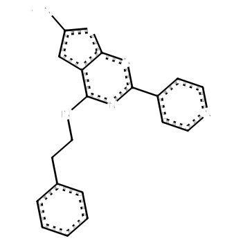 O=[N+]([O-])c1cc2c(NCCc3ccccc3)nc(-c3ccncc3)nc2s1